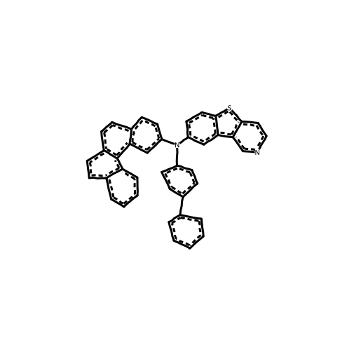 c1ccc(-c2ccc(N(c3ccc4sc5ccncc5c4c3)c3ccc4ccc5ccc6ccccc6c5c4c3)cc2)cc1